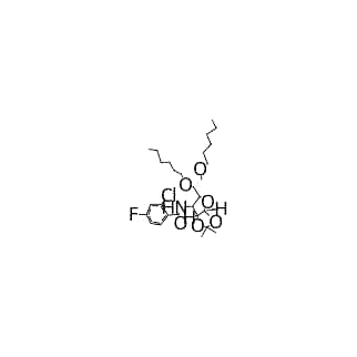 CCCCCCOC[C@@H](OCCCCCC)[C@H]1O[C@@H]2OC(C)(C)O[C@@H]2[C@H]1NC(=O)c1ccc(F)cc1Cl